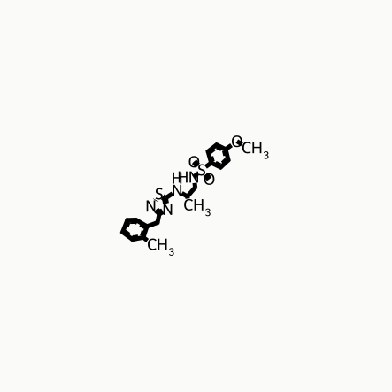 COc1ccc(S(=O)(=O)NCC(C)Nc2nc(Cc3ccccc3C)ns2)cc1